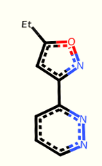 CCc1cc(-c2cccnn2)no1